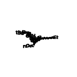 CC/C=C/CCCCCCCCCC(=O)OCC(COP(=O)(O)OCCNC(=O)OC(C)(C)CCOC(C)(C)C)OC(=O)CCCCCCCCCCCCC